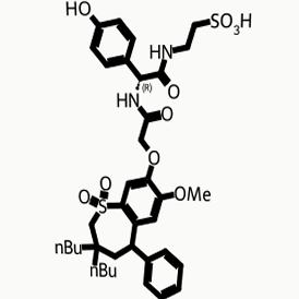 CCCCC1(CCCC)CC(c2ccccc2)c2cc(OC)c(OCC(=O)N[C@@H](C(=O)NCCS(=O)(=O)O)c3ccc(O)cc3)cc2S(=O)(=O)C1